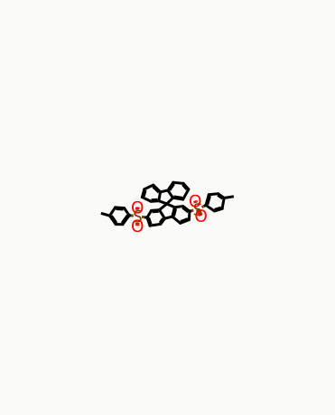 Cc1ccc(S(=O)(=O)c2ccc3c(c2)C2(c4ccccc4-c4ccccc42)c2cc(S(=O)(=O)c4ccc(C)cc4)ccc2-3)cc1